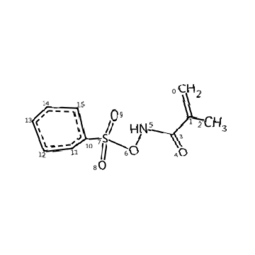 C=C(C)C(=O)NOS(=O)(=O)c1ccccc1